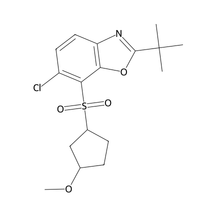 COC1CCC(S(=O)(=O)c2c(Cl)ccc3nc(C(C)(C)C)oc23)C1